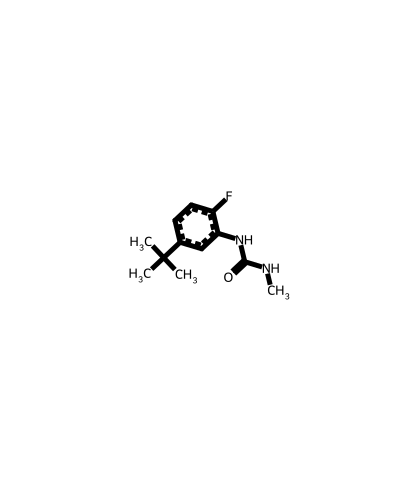 CNC(=O)Nc1cc(C(C)(C)C)ccc1F